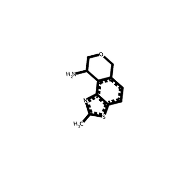 Cc1nc2c3c(ccc2s1)COCC3N